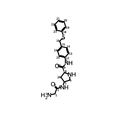 NCC(=O)NC1CN[C@H](C(=O)Nc2ccc(CSc3ccccc3)cc2)C1